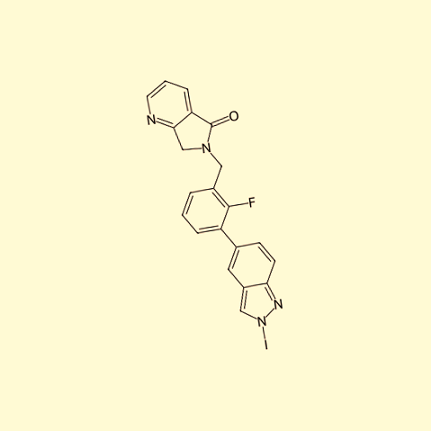 O=C1c2cccnc2CN1Cc1cccc(-c2ccc3nn(I)cc3c2)c1F